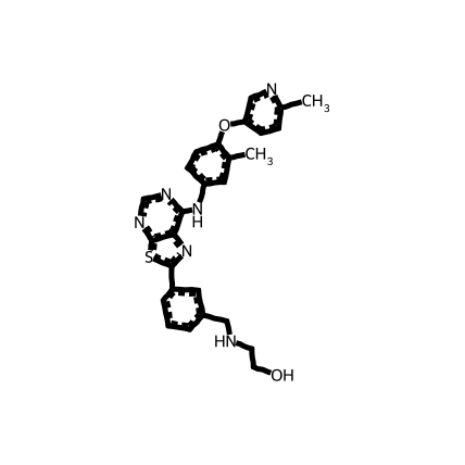 Cc1ccc(Oc2ccc(Nc3ncnc4sc(-c5cccc(CNCCO)c5)nc34)cc2C)cn1